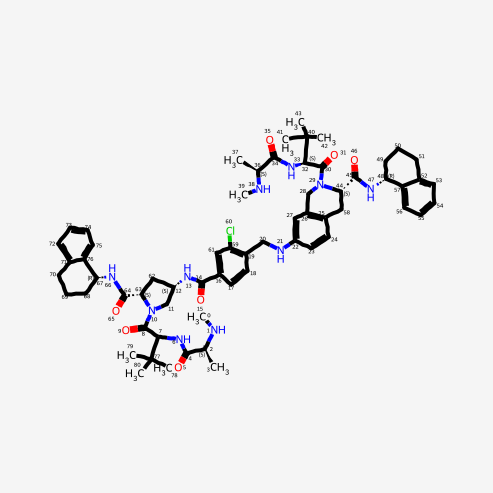 CN[C@@H](C)C(=O)NC(C(=O)N1C[C@@H](NC(=O)c2ccc(CNc3ccc4c(c3)CN(C(=O)[C@@H](NC(=O)[C@H](C)NC)C(C)(C)C)[C@H](C(=O)N[C@@H]3CCCc5ccccc53)C4)c(Cl)c2)C[C@H]1C(=O)N[C@@H]1CCCc2ccccc21)C(C)(C)C